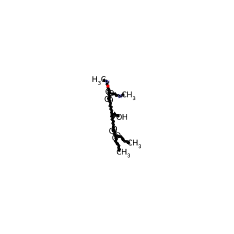 CC/C=C\CCCCOC(CCC(=O)OCCCCCCCN(CCCO)CCCCCCCOC(=O)CCC(OCCC#CCCCC)OCCC#CCCCC)OCCCC/C=C\CC